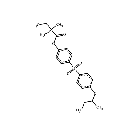 CCC(C)Oc1ccc(S(=O)(=O)c2ccc(OC(=O)C(C)(C)CC)cc2)cc1